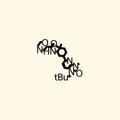 CN1CCOC(C(=O)NC2CC(c3ccc4c(n3)n(C)c(=O)n4CC(C)(C)C)CCC2(C)C)C1